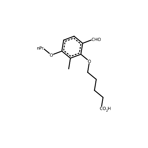 CCCOc1ccc(C=O)c(OCCCCC(=O)O)c1C